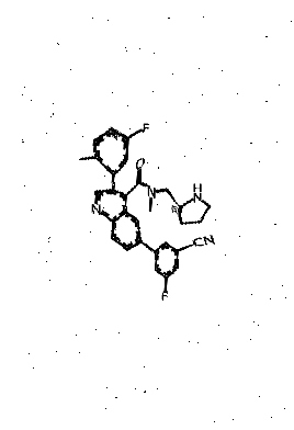 Cc1ccc(F)cc1-c1cnc2ccc(-c3cc(F)cc(C#N)c3)cc2c1C(=O)N(C)C[C@@H]1CCCN1